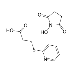 O=C(O)CCSc1ccccn1.O=C1CCC(=O)N1O